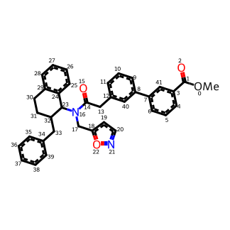 COC(=O)c1cccc(-c2cccc(CC(=O)N(Cc3ccno3)C3c4ccccc4CCC3Cc3ccccc3)c2)c1